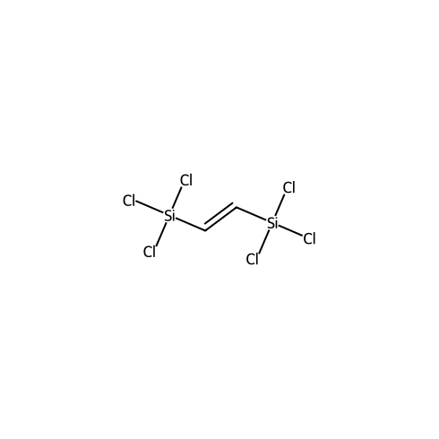 Cl[Si](Cl)(Cl)C=C[Si](Cl)(Cl)Cl